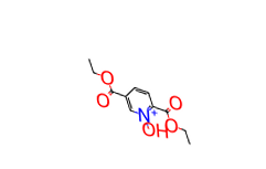 CCOC(=O)c1ccc(C(=O)OCC)[n+](O)c1